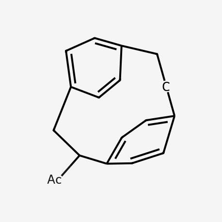 CC(=O)C1Cc2ccc(cc2)CCc2ccc1cc2